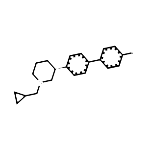 Fc1ccc(-c2ccc([C@@H]3CCCN(CC4CC4)C3)cc2)cc1